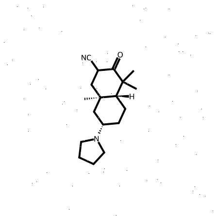 CC1(C)C(=O)C(C#N)C[C@]2(C)C[C@@H](N3CCCC3)CC[C@@H]12